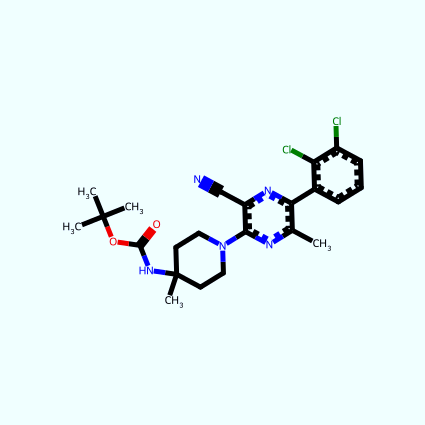 Cc1nc(N2CCC(C)(NC(=O)OC(C)(C)C)CC2)c(C#N)nc1-c1cccc(Cl)c1Cl